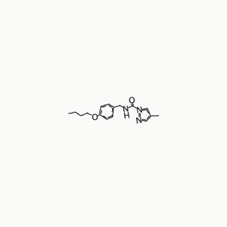 CCCCOc1ccc(CNC(=O)n2cc(C)cn2)cc1